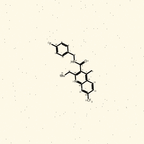 Cc1c(C(=O)NCc2ccc(F)cc2)c(CC(C)(C)C)nc2cc(C(F)(F)F)ccc12